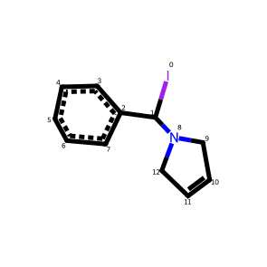 IC(c1ccccc1)N1CC=CC1